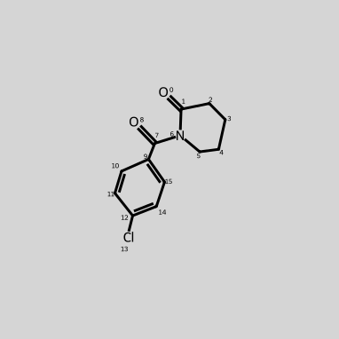 O=C1CCCCN1C(=O)c1ccc(Cl)cc1